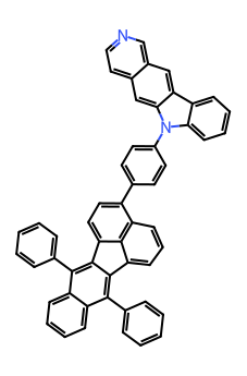 c1ccc(-c2c3c(c(-c4ccccc4)c4ccccc24)-c2ccc(-c4ccc(-n5c6ccccc6c6cc7cnccc7cc65)cc4)c4cccc-3c24)cc1